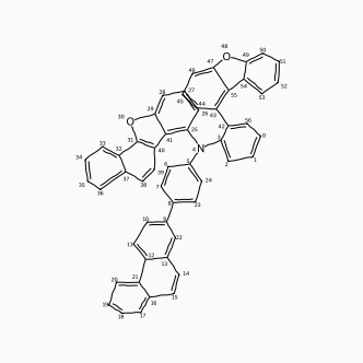 c1ccc(N(c2ccc(-c3ccc4c(ccc5ccccc54)c3)cc2)c2cccc3oc4c5ccccc5ccc4c23)c(-c2cccc3oc4ccccc4c23)c1